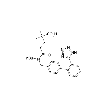 CCCCN(Cc1ccc(-c2ccccc2-c2nnn[nH]2)cc1)C(=O)CCC(C)(C)C(=O)O